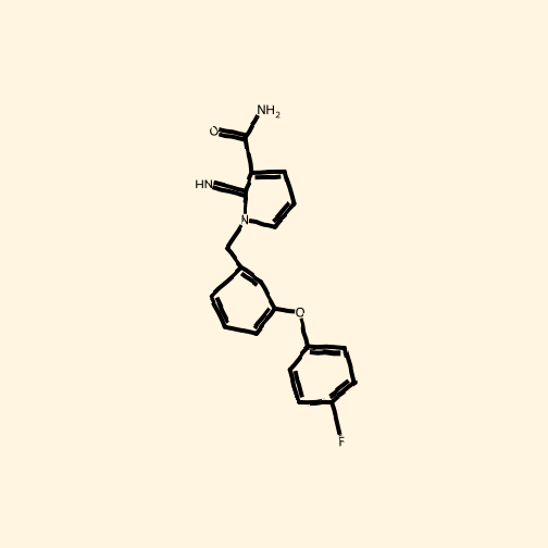 N=c1c(C(N)=O)cccn1Cc1cccc(Oc2ccc(F)cc2)c1